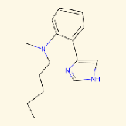 CCCCCN(C)c1ccccc1-c1c[nH]cn1